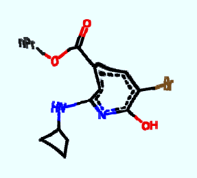 CCCOC(=O)c1cc(Br)c(O)nc1NC1CC1